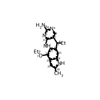 CCOc1cc(C(CC)c2cnc(N)nc2N)cc2[nH]c(C)cc12